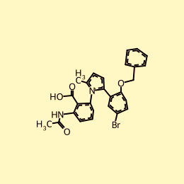 CC(=O)Nc1cccc(-n2c(C)ccc2-c2cc(Br)ccc2OCc2ccccc2)c1C(=O)O